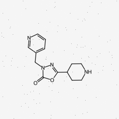 O=c1oc(C2CCNCC2)nn1Cc1cccnc1